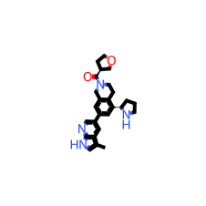 Cc1c[nH]c2ncc(-c3cc4c(c([C@@H]5CCCN5)c3)CCN(C(=O)[C@H]3CCOC3)C4)cc12